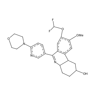 COc1cc2c(cc1OC(F)F)C(c1ccc(N3CCOCC3)nc1)=NC1CCC(O)CC21